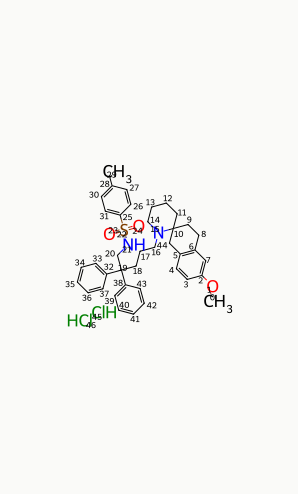 COc1ccc2c(c1)CCC1(CCCCN1CCCC(CNS(=O)(=O)c1ccc(C)cc1)(c1ccccc1)c1ccccc1)C2.Cl.Cl